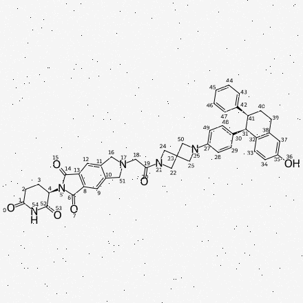 O=C1CC[C@@H](N2C(=O)c3cc4c(cc3C2=O)CN(CC(=O)N2CC3(C2)CN(c2ccc([C@@H]5c6ccc(O)cc6CC[C@@H]5c5ccccc5)cc2)C3)C4)C(=O)N1